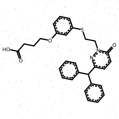 O=C(O)CCCOc1cccc(SCCn2nc(C(c3ccccc3)c3ccccc3)ccc2=O)c1